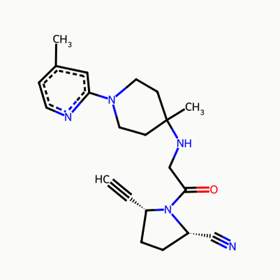 C#C[C@H]1CC[C@@H](C#N)N1C(=O)CNC1(C)CCN(c2cc(C)ccn2)CC1